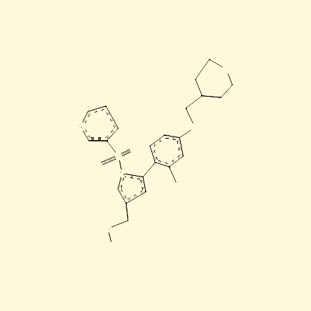 CNCc1cc(-c2ccc(OCC3CCOCC3)cc2F)n(S(=O)(=O)c2cccnc2)c1